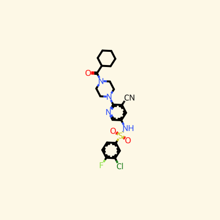 N#Cc1cc(NS(=O)(=O)c2ccc(F)c(Cl)c2)cnc1N1CCN(C(=O)C2CCCCC2)CC1